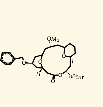 CCCCC[C@H]1C[C@@H]2CCCC(C[C@@H](OC)CC3C[C@H](OCc4ccccc4)C[C@@H](CC(=O)O1)O3)O2